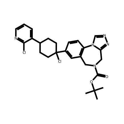 CC(C)(C)OC(=O)N1Cc2cc(C3(Cl)CCC(c4cccnc4Cl)CC3)ccc2-n2cnnc2C1